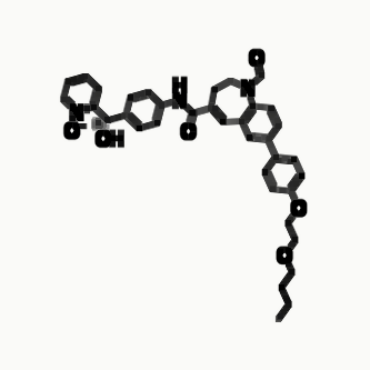 CCCCOCCOc1ccc(-c2ccc3c(c2)C=C(C(=O)Nc2ccc([C@H](O)c4cccc[n+]4[O-])cc2)CCN3C=O)cc1